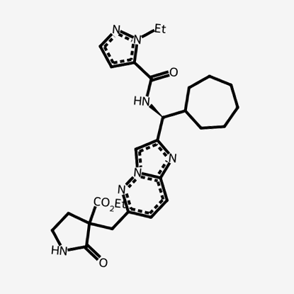 CCOC(=O)C1(Cc2ccc3nc([C@@H](NC(=O)c4ccnn4CC)C4CCCCCC4)cn3n2)CCNC1=O